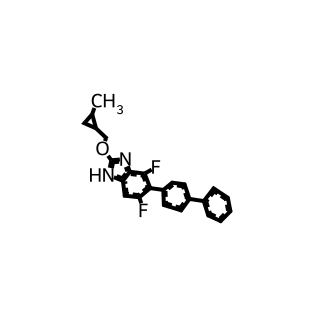 CC1CC1COc1nc2c(F)c(-c3ccc(-c4ccccc4)cc3)c(F)cc2[nH]1